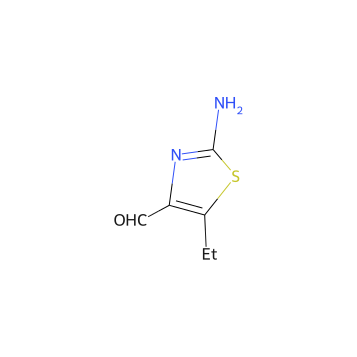 CCc1sc(N)nc1C=O